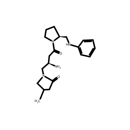 CC1CC(=O)N(C[C@H](N)CC(=O)N2CCC[C@H]2CNc2ccccc2)C1